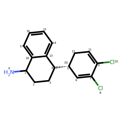 NC1CCC([C@H]2C=C(Cl)C(Cl)=CC2)c2ccccc21